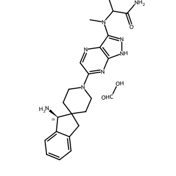 CC(C(N)=O)N(C)c1n[nH]c2nc(N3CCC4(CC3)Cc3ccccc3[C@H]4N)cnc12.O=CO